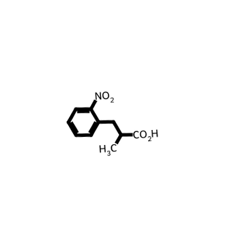 CC(Cc1ccccc1[N+](=O)[O-])C(=O)O